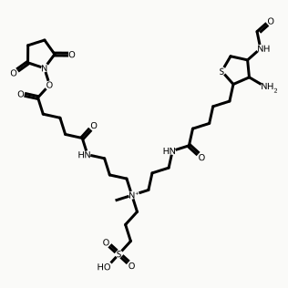 C[N+](CCCNC(=O)CCCCC1SCC(NC=O)C1N)(CCCNC(=O)CCCC(=O)ON1C(=O)CCC1=O)CCCS(=O)(=O)O